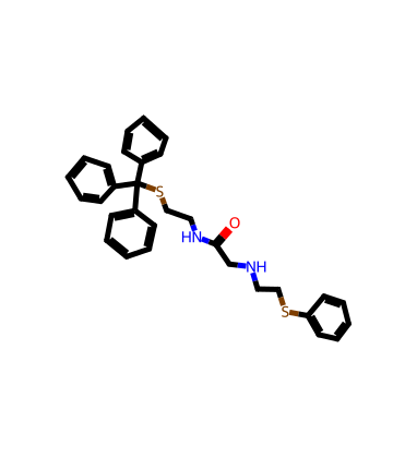 O=C(CNCCSc1ccccc1)NCCSC(c1ccccc1)(c1ccccc1)c1ccccc1